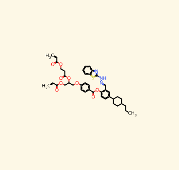 C=CC(=O)OCCC(=O)OC(COC(=O)C=C)COc1ccc(C(=O)Oc2ccc(C3CCC(CCC)CC3)cc2/C=N/Nc2nc3ccccc3s2)cc1